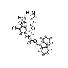 NCCCCOCCN(Cc1ccc(OC(F)(F)F)c(Cl)c1)C(=O)OCC1c2ccccc2-c2ccccc21